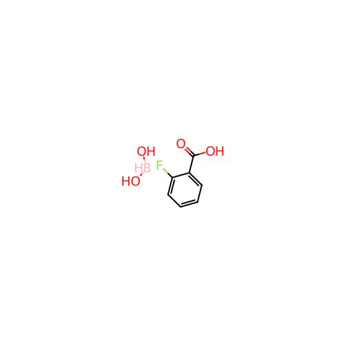 O=C(O)c1ccccc1F.OBO